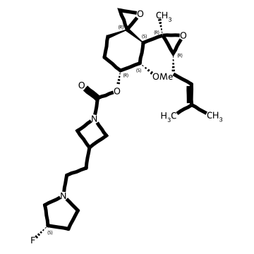 CO[C@@H]1[C@H](OC(=O)N2CC(CCN3CC[C@H](F)C3)C2)CC[C@]2(CO2)[C@H]1[C@@]1(C)O[C@@H]1CC=C(C)C